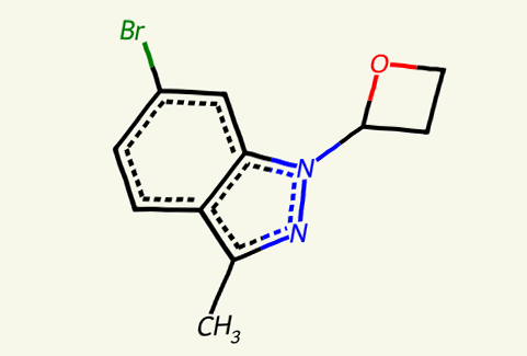 Cc1nn(C2CCO2)c2cc(Br)ccc12